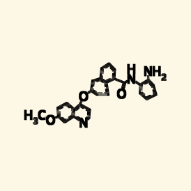 COc1ccc2c(Oc3ccc4c(C(=O)Nc5ccccc5N)cccc4c3)ccnc2c1